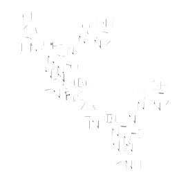 CCc1c(N2CCN(C(=O)c3ncccc3O)CC2)c(=O)n2nc(C3=CCCCN3)nc2n1CC(=O)Nc1ccc(C(F)(F)F)cc1C.CCc1c(N2CCN(C(=O)c3ncccc3O)CC2)c(=O)n2nc(C3=CCCCN3C(=O)OC(C)(C)C)nc2n1CC(=O)Nc1ccc(C(F)(F)F)cc1C